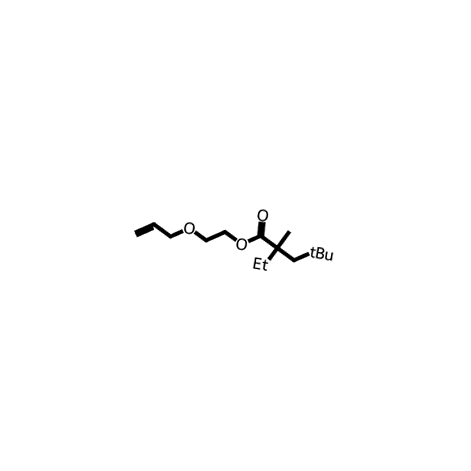 C=CCOCCOC(=O)C(C)(CC)CC(C)(C)C